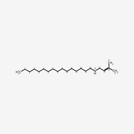 CCCCCCCCCCCCCCCCNCC=C(C)C